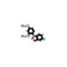 COc1ccc(B2OCc3cc(F)ccc32)c(OC)c1